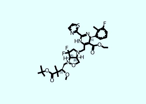 CCOC(=O)C1=C(CN2CC(F)(F)[C@H]3[C@@H]2CON3C[C@@H](OC)C(C)(C)C(=O)OC(C)(C)C)NC(c2nccs2)=N[C@H]1c1cccc(F)c1C